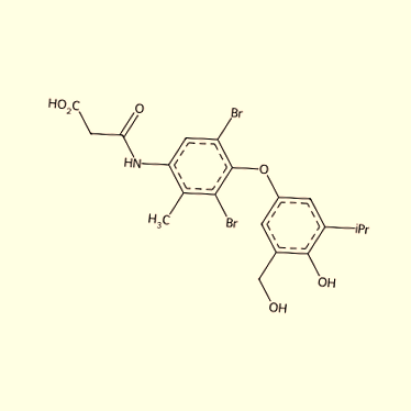 Cc1c(NC(=O)CC(=O)O)cc(Br)c(Oc2cc(CO)c(O)c(C(C)C)c2)c1Br